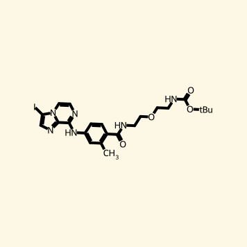 Cc1cc(Nc2nccn3c(I)cnc23)ccc1C(=O)NCCOCCNC(=O)OC(C)(C)C